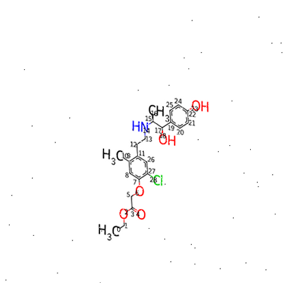 CCOC(=O)COc1cc(C)c(CCN[C@@H](C)[C@H](O)c2ccc(O)cc2)cc1Cl